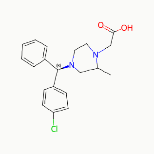 CC1CN([C@H](c2ccccc2)c2ccc(Cl)cc2)CCN1CC(=O)O